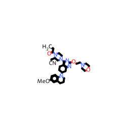 C=CC(=O)N1CCN(c2nc(OCCN3CCOCC3)nc3c2CCC(N2CCCc4cc(OC)ccc42)C3)CC1CC#N